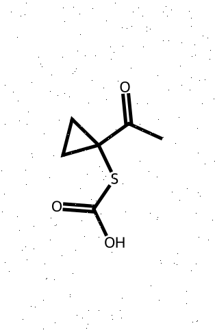 CC(=O)C1(SC(=O)O)CC1